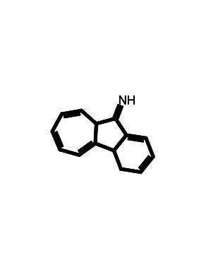 N=C1C2=CC=CCC2C2=CC=CC=CC12